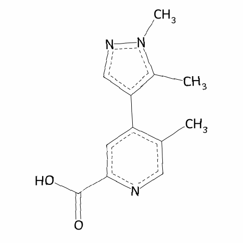 Cc1cnc(C(=O)O)cc1-c1cnn(C)c1C